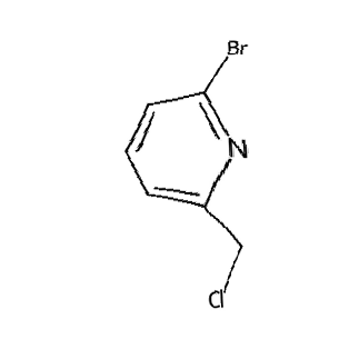 ClCc1cccc(Br)n1